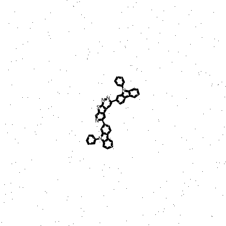 c1ccc(-n2c3ccccc3c3ccc(-c4cc5c(cn4)sc4nnc(-c6ccc7c8ccccc8n(-c8ccccc8)c7c6)cc45)cc32)cc1